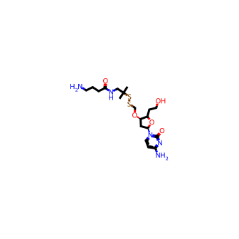 CC(C)(CNC(=O)CCCN)SSCO[C@@H]1C[C@H](n2ccc(N)nc2=O)OC1CCO